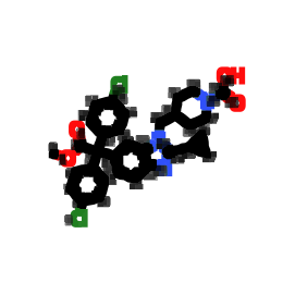 COC(=O)C(c1ccc(Cl)cc1)(c1ccc(Cl)cc1)c1ccc2nc(C3CC3)n(CC3CCN(C(=O)O)CC3)c2c1